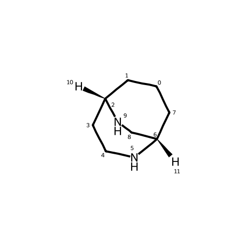 C1C[C@H]2CCN[C@@H](C1)CN2